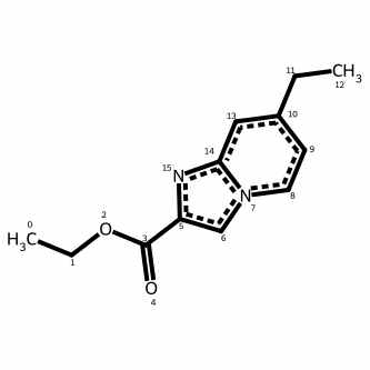 CCOC(=O)c1cn2ccc(CC)cc2n1